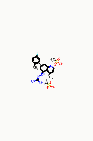 CS(=O)(=O)O.CS(=O)(=O)O.Cc1ccc(F)cc1[C@@H]1C/C(=N\N=C(N)N)c2c(C)ccnc2C1